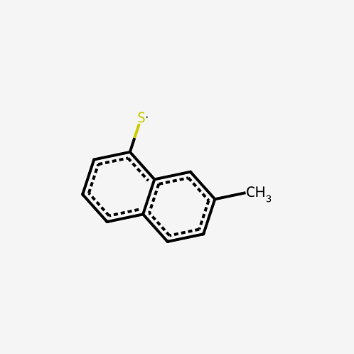 Cc1ccc2cccc([S])c2c1